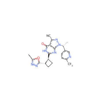 Cc1nnc([C@H]2CC[C@@H]2c2nc3c(c(C#N)nn3[C@H](C)c3ccc(C(F)(F)F)nc3)c(=O)[nH]2)o1